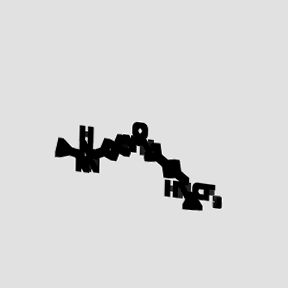 O=C(N1CC(C23CC(CNC4(C(F)(F)F)CC4)(C2)C3)C1)N1CC2(CC(c3nnc(C4CC4)[nH]3)C2)C1